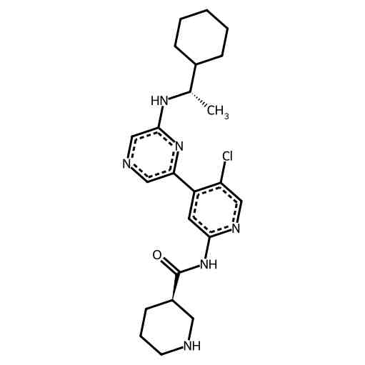 C[C@H](Nc1cncc(-c2cc(NC(=O)[C@@H]3CCCNC3)ncc2Cl)n1)C1CCCCC1